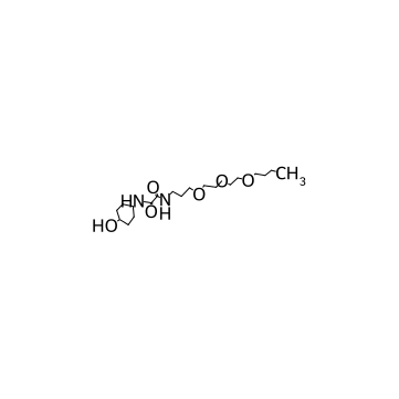 CCCCOCCOCCOCCCNC(=O)C(=O)NC1CCC(O)CC1